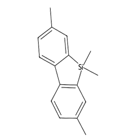 Cc1ccc2c(c1)[Si](C)(C)c1cc(C)ccc1-2